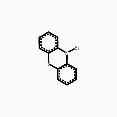 CCN1c2cc[c]cc2Sc2ccccc21